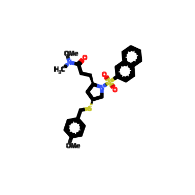 COc1ccc(CS[C@@H]2C[C@@H](CCC(=O)N(C)OC)N(S(=O)(=O)c3ccc4ccccc4c3)C2)cc1